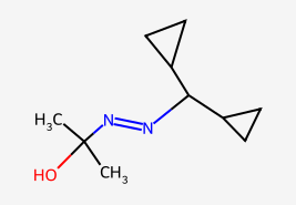 CC(C)(O)/N=N/C(C1CC1)C1CC1